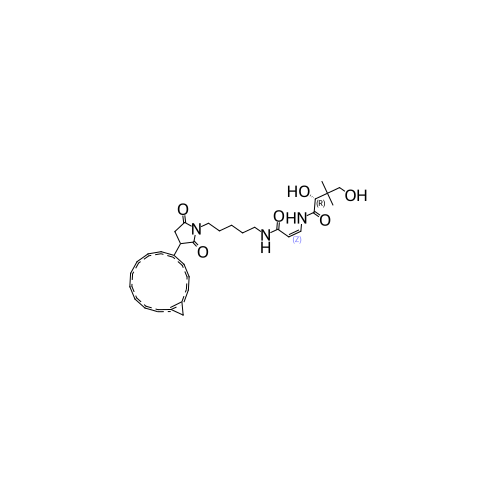 CC(C)(CO)[C@@H](O)C(=O)N/C=C\C(=O)NCCCCCN1C(=O)CC(c2ccccccccc3c(ccc2)C3)C1=O